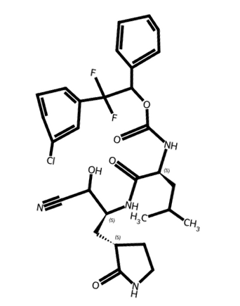 CC(C)C[C@H](NC(=O)OC(c1ccccc1)C(F)(F)c1cccc(Cl)c1)C(=O)N[C@@H](C[C@@H]1CCNC1=O)C(O)C#N